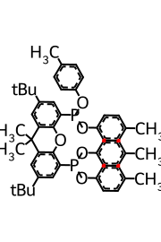 Cc1ccc(OP(Oc2ccc(C)cc2)c2cc(C(C)(C)C)cc3c2Oc2c(P(Oc4ccc(C)cc4)Oc4ccc(C)cc4)cc(C(C)(C)C)cc2C3(C)C)cc1